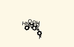 O=C1c2c(O)c3c(=O)[nH]c4ccccc4n3c2CCN1Cc1ccc(F)cc1